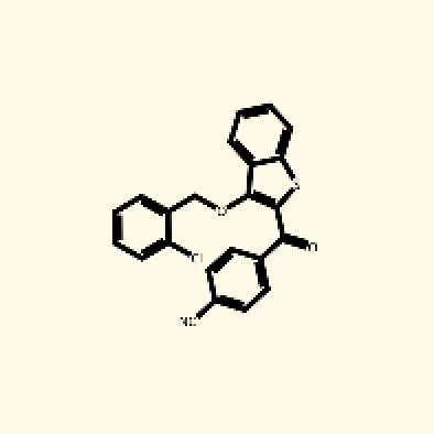 N#Cc1ccc(C(=O)c2sc3ccccc3c2OCc2ccccc2Cl)cc1